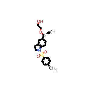 C#C[C@@H](OCCO)c1ccc2c(ccn2S(=O)(=O)c2ccc(C)cc2)c1